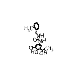 Cc1ccccc1CNC(=O)Nc1cc(Cl)c(O)c(C(C)O)c1